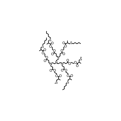 CCCCCSCC(C)C(=O)OCCOC(=O)CCN(CCC(=O)OCCOC(=O)C(C)CSC)CCN(CCN(CCC(=O)OCCOC(=O)C(C)CSC)CCC(=O)OCCOC(=O)C(C)CSCCCCC)CCN(CCC(=O)OCCOC(=O)C(C)CSCCCCC)CCC(=O)OCCOC(=O)C(C)CSCCCCC